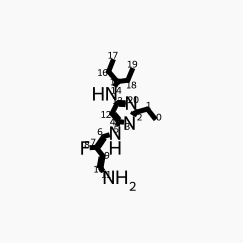 CCc1nc(N/C=C(F)\C=C\N)cc(NC(CC)CC)n1